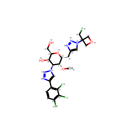 CO[C@@H]1[C@@H](n2cc(-c3ccc(Br)c(F)c3F)nn2)[C@@H](O)[C@@H](CO)O[C@@H]1Cc1cn(C2(CF)COC2)nn1